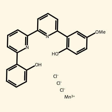 COc1ccc(O)c(-c2cccc(-c3cccc(-c4ccccc4O)n3)n2)c1.[Cl-].[Cl-].[Cl-].[Mn+3]